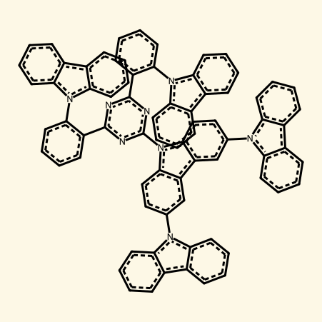 c1ccc(-n2c3ccccc3c3ccccc32)c(-c2nc(-c3ccccc3-n3c4ccccc4c4ccccc43)nc(-n3c4ccc(-n5c6ccccc6c6ccccc65)cc4c4cc(-n5c6ccccc6c6ccccc65)ccc43)n2)c1